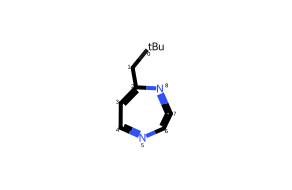 CC(C)(C)CC1=CC=NC=C=N1